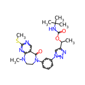 CSc1ncc2c(n1)N(C)CCN(c1cccc(-n3cc(C(C)OC(=O)NC(C)(C)C)nn3)c1)C2=O